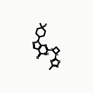 Cc1noc([C@@H]2CC[C@@H]2c2nc3c(cnn3C3CCC(C)(F)CC3)c(=O)[nH]2)n1